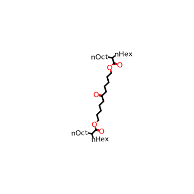 CCCCCCCCC(CCCCCC)C(=O)OCCCCCC(=O)CCCCCOC(=O)C(CCCCCC)CCCCCCCC